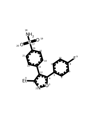 CCc1noc(-c2ccc(F)cc2)c1-c1ccc(S(N)(=O)=O)cc1